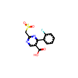 O=C(O)c1cnc(C[SH](=O)=O)nc1-c1ccccc1F